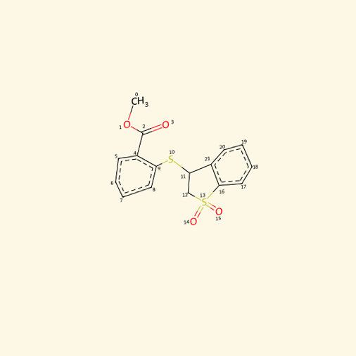 COC(=O)c1ccccc1SC1CS(=O)(=O)c2ccccc21